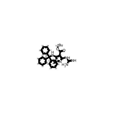 Cn1nc(NC(=N)N)c(C(=O)OC(C)(C)C)c1NC(c1ccccc1)(c1ccccc1)c1ccccc1